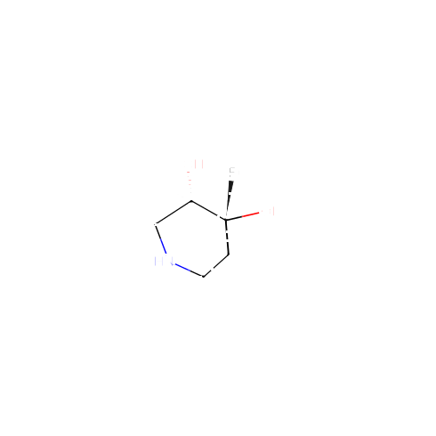 CC[C@@]1(O)CCNC[C@@H]1O